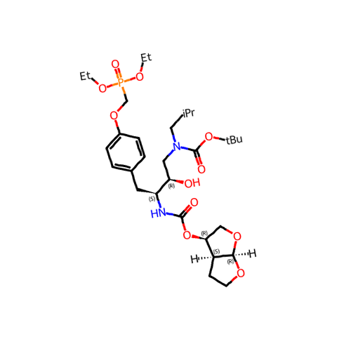 CCOP(=O)(COc1ccc(C[C@H](NC(=O)O[C@H]2CO[C@H]3OCC[C@H]32)[C@H](O)CN(CC(C)C)C(=O)OC(C)(C)C)cc1)OCC